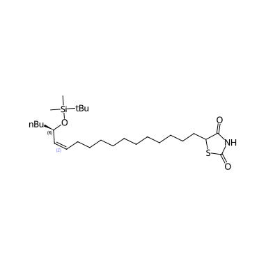 CCCC[C@H](/C=C\CCCCCCCCCCCC1SC(=O)NC1=O)O[Si](C)(C)C(C)(C)C